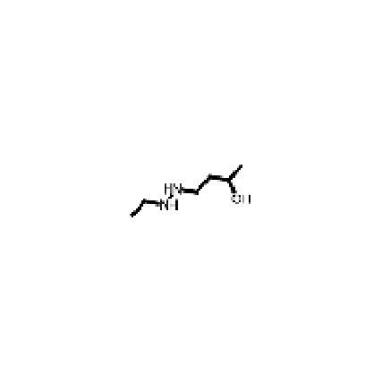 CCNNCCC(C)O